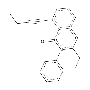 CCC#Cc1cccc2cc(CC)n(-c3ccccc3)c(=O)c12